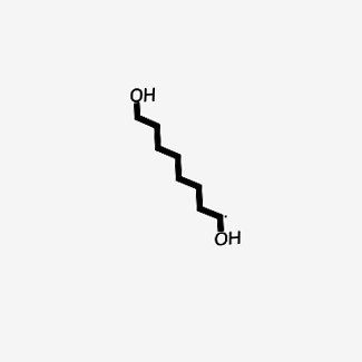 O[CH]CCCCCCCO